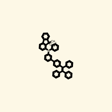 CC1(C)c2ccccc2-c2cccc(N(c3ccccc3)c3cccc(-c4ccc(C(=C(c5ccccc5)c5ccccc5)c5ccccc5)cc4)c3)c21